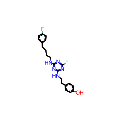 Oc1ccc(CCNc2nc(F)nc(NCCCCc3ccc(F)cc3)n2)cc1